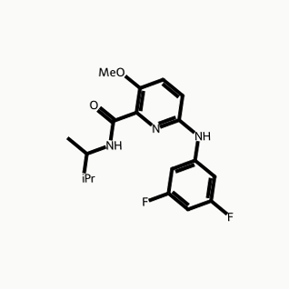 COc1ccc(Nc2cc(F)cc(F)c2)nc1C(=O)NC(C)C(C)C